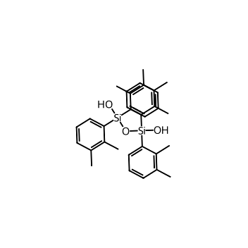 Cc1cccc([Si](O)(O[Si](O)(c2cccc(C)c2C)c2cccc(C)c2C)c2cccc(C)c2C)c1C